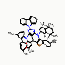 CC(C)(C)c1ccc(-c2cc(C(C)(C)C)ccc2N2c3ccc(C(C)(C)C)cc3B3c4sc5ccc(C(C)(C)C)cc5c4N(c4ccc5c(c4)C(C)(C)CCC5(C)C)c4nc(-n5c6ccccc6c6ccccc65)nc2c43)cc1